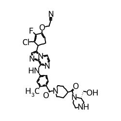 Cc1cc(Nc2nccn3c(C4CC=C(OCC#N)C(F)=C4Cl)cnc23)ccc1C(=O)N1CCC(C(=O)N2CCNC[C@H]2CO)CC1